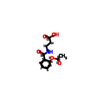 CC(=O)Oc1ccccc1C(=O)NCCC(=O)O